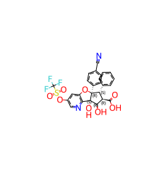 N#Cc1ccc([C@@]23Oc4cc(OS(=O)(=O)C(F)(F)F)cnc4[C@]2(O)[C@H](O)[C@H](C(=O)O)[C@H]3c2ccccc2)cc1